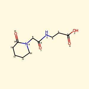 O=C(O)CCNC(=O)CN1CCCCC1=O